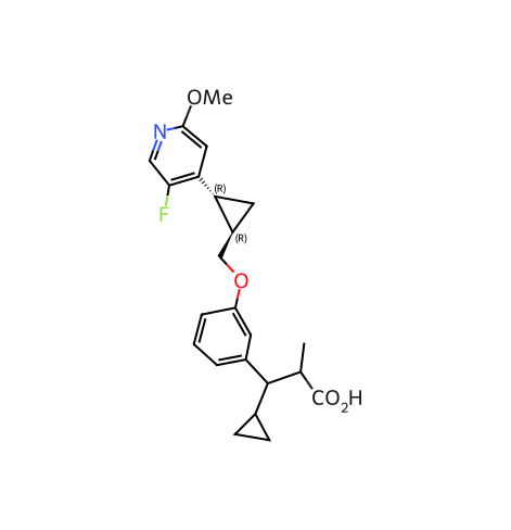 COc1cc([C@@H]2C[C@H]2COc2cccc(C(C3CC3)C(C)C(=O)O)c2)c(F)cn1